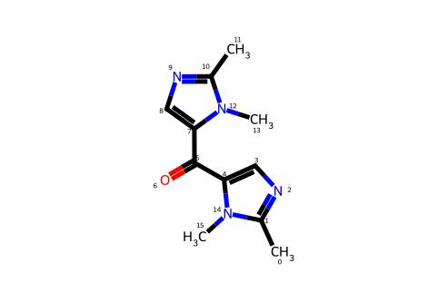 Cc1ncc(C(=O)c2cnc(C)n2C)n1C